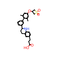 Cc1cc(OC2CS(=O)(=O)C2)cc(C)c1-c1cccc(C2CCc3cc(CCC(=O)O)ccc3N2)c1